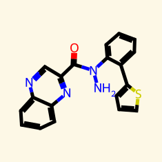 NN(C(=O)c1cnc2ccccc2n1)c1ccccc1-c1cccs1